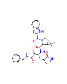 CC1(C)C2CN(C(=O)c3cc4ccccc4[nH]3)C(C(=O)NC(CC3CCNC3=O)C(=O)C(=O)NCc3ccccc3)C21